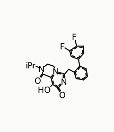 CC(C)N1CCn2c(Cc3ccccc3-c3ccc(F)c(F)c3)nc(=O)c(O)c2C1=O